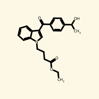 CCOC(=O)CCCn1cc(C(=O)c2ccc(C(C)O)cc2)c2ccccc21